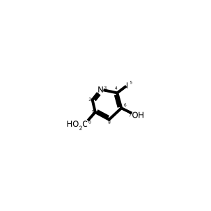 O=C(O)c1cnc(I)c(O)c1